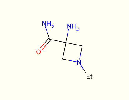 CCN1CC(N)(C(N)=O)C1